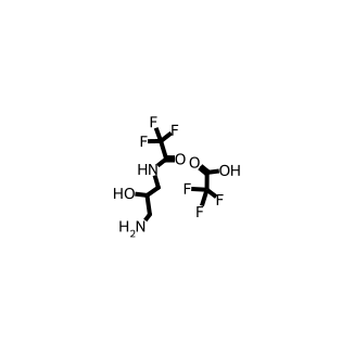 NCC(O)CNC(=O)C(F)(F)F.O=C(O)C(F)(F)F